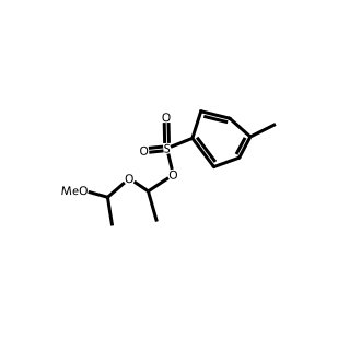 COC(C)OC(C)OS(=O)(=O)c1ccc(C)cc1